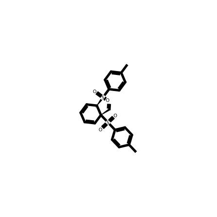 C=C[C@@]1(S(=O)(=O)c2ccc(C)cc2)C=CC=C[C@H]1S(=O)(=O)c1ccc(C)cc1